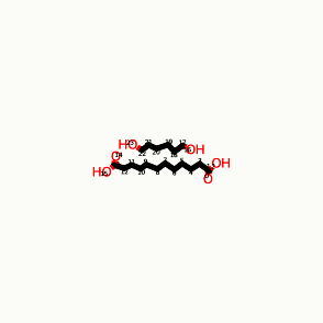 O=C(O)CCCCCCCCCCC(=O)O.OCCCCCCO